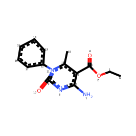 CCOC(=O)c1c(N)nc(=O)n(-c2ccccc2)c1C